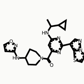 CC(Nc1cc(C(=O)N2CCC(Nc3ccon3)CC2)nc(-c2cnn3ccsc23)n1)C1CC1